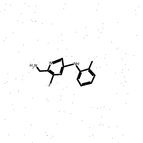 Cc1ccccc1Nc1cnc(CN)c(F)c1